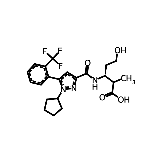 CC(C(=O)O)[C@H](CCO)NC(=O)c1cc(-c2ccccc2C(F)(F)F)n(C2CCCC2)n1